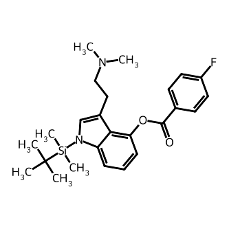 CN(C)CCc1cn([Si](C)(C)C(C)(C)C)c2cccc(OC(=O)c3ccc(F)cc3)c12